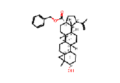 C=C(C)[C@@H]1CC[C@]2(C(=O)OCc3ccccc3)CC[C@]3(C)[C@H](CC[C@@H]4[C@@]5(C)CC[C@H](O)C6(C)C[C@]65CC[C@]43C)[C@@H]12